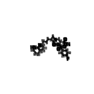 O=C(O)C(CN1CC(CCCc2ccc3c(n2)NCCC3)C1=O)NS(=O)(=O)c1ccc(F)cc1